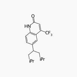 CC(C)CC(CC(C)C)c1ccc2[nH]c(=O)cc(C(F)(F)F)c2c1